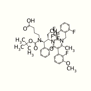 CC[C@H]([C@@H](c1ccccc1)N(CCCC(=O)O)C(=O)OC(C)(C)C)n1c(=O)c(-c2cccc(OC)c2F)c(C)n(Cc2c(F)cccc2C(F)(F)F)c1=O